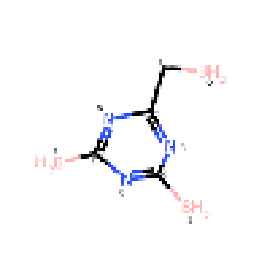 BCc1nc(B)nc(B)n1